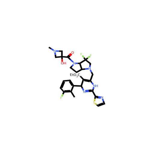 CCOC(=O)C1=C(CN2CC(F)(F)C3C2CCN3C(=O)C2(O)CN(C)C2)NC(c2nccs2)=NC1c1cccc(F)c1C